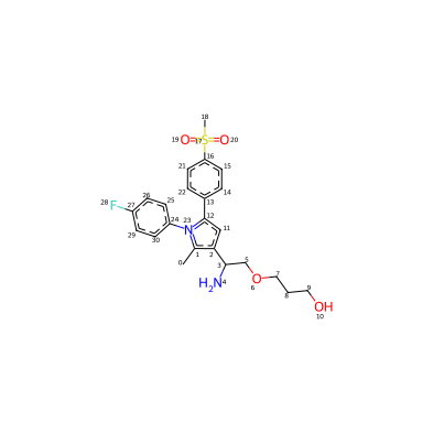 Cc1c(C(N)COCCCO)cc(-c2ccc(S(C)(=O)=O)cc2)n1-c1ccc(F)cc1